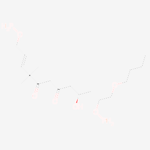 CCCCO[C@H](C)[C@@H](C[C@@H](O)CC(=O)CC(=O)C(C)(C)/C=C/COP)OP